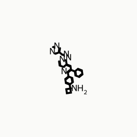 NC1(c2ccc(-c3nc4ccn5c(-c6cncnc6)nnc5c4cc3-c3ccccc3)cc2)CCC1